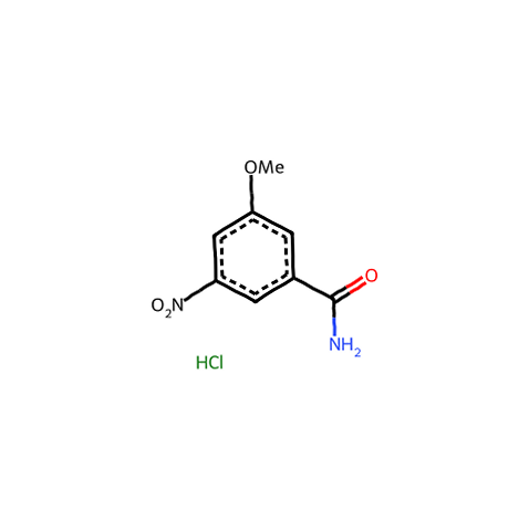 COc1cc(C(N)=O)cc([N+](=O)[O-])c1.Cl